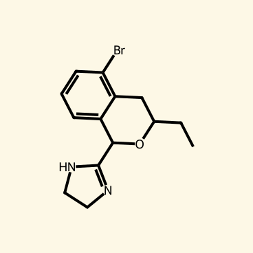 CCC1Cc2c(Br)cccc2C(C2=NCCN2)O1